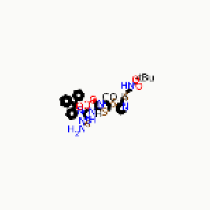 CC(C)(C)OC(=O)NCCSCc1ncccc1SC1=C(C(=O)O)N2C(=O)[C@@H](NC(=O)/C(=N\OC(c3ccccc3)(c3ccccc3)c3ccccc3)c3nsc(N)n3)[C@@H]2SC1